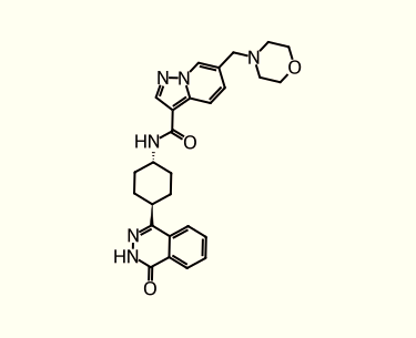 O=C(N[C@H]1CC[C@H](c2n[nH]c(=O)c3ccccc32)CC1)c1cnn2cc(CN3CCOCC3)ccc12